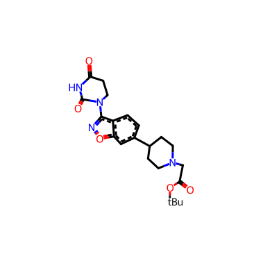 CC(C)(C)OC(=O)CN1CCC(c2ccc3c(N4CCC(=O)NC4=O)noc3c2)CC1